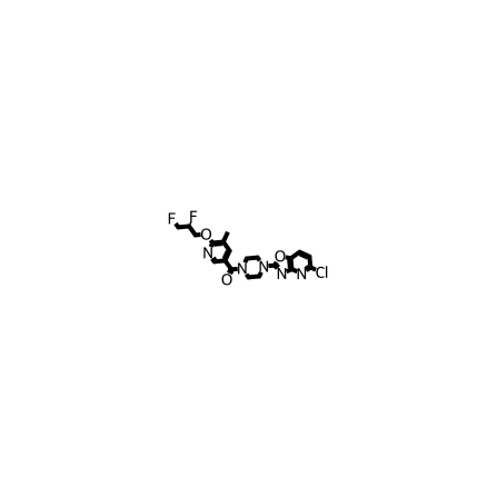 Cc1cc(C(=O)N2CCN(c3nc4nc(Cl)ccc4o3)CC2)cnc1OC[C@@H](F)CF